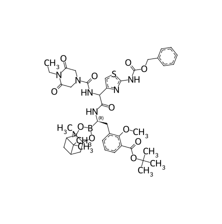 CCN1C(=O)CN(C(=O)NC(C(=O)N[C@@H](Cc2cccc(C(=O)OC(C)(C)C)c2OC)B2OC3CC4CC(C4(C)C)[C@]3(C)O2)c2csc(NC(=O)OCc3ccccc3)n2)CC1=O